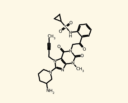 CC#CCn1c(N2CCCC(N)C2)nc2c1c(=O)n(CC(=O)c1ccccc1NS(=O)(=O)C1CC1)c(=O)n2C